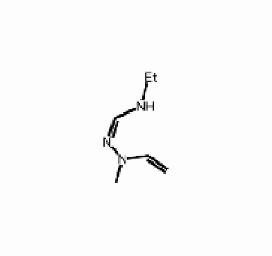 C=CN(C)/N=C\NCC